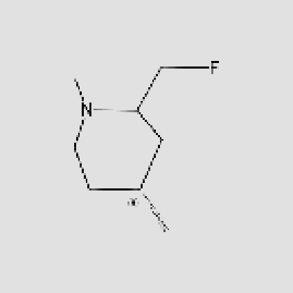 C[C@@H]1CCN(C)C(CF)C1